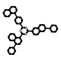 c1ccc(-c2ccc3cc(-c4nc(-c5ccc(-c6cccc7ccccc67)cc5)nc(-c5ccc(-c6ccccc6)c6ccccc56)n4)ccc3c2)cc1